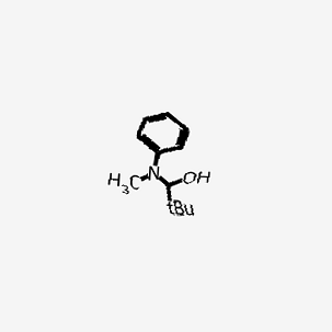 CN(c1ccccc1)C(O)C(C)(C)C